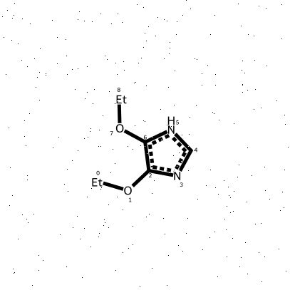 CCOc1nc[nH]c1OCC